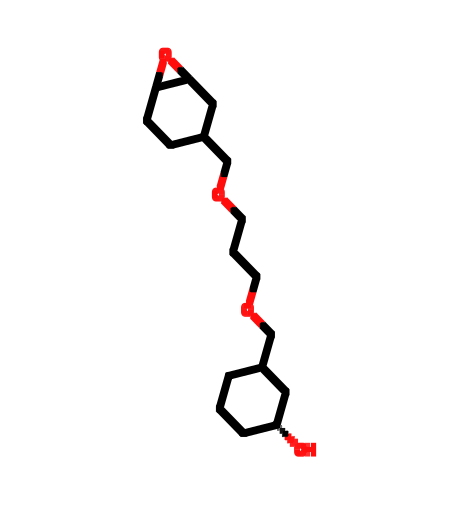 O[C@@H]1CCCC(COCCCOCC2CCC3OC3C2)C1